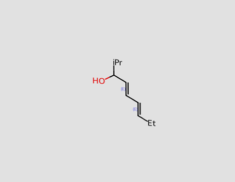 CC/C=C/C=C/C(O)C(C)C